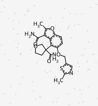 Cc1ncc(COc2ccc3oc(C)c(C(N)=O)c3c2C2(C(N)=O)CCOC2)s1